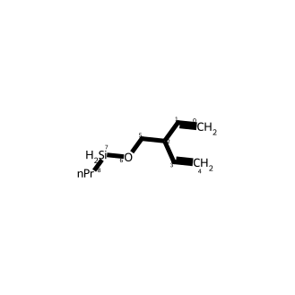 C=CC(C=C)CO[SiH2]CCC